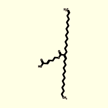 C=CCCCCCCCCCCCCC(=CCCCCCCCCCCCC)C(=O)OCCC=CC(=O)O